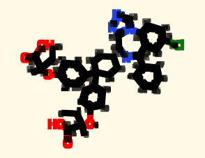 CCC(C)(Oc1ccc(C2(c3ccc(OC(C)(CC)C(=O)O)cc3)CCCCC2)cc1)C(=O)O.Clc1ccc2c(c1)C(c1ccccc1)=NCc1nncn1-2